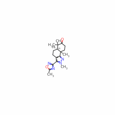 Cc1nc(-c2c3c(nn2C)C2(C)CCC(=O)C(C)(C)[C@@H]2CC3)no1